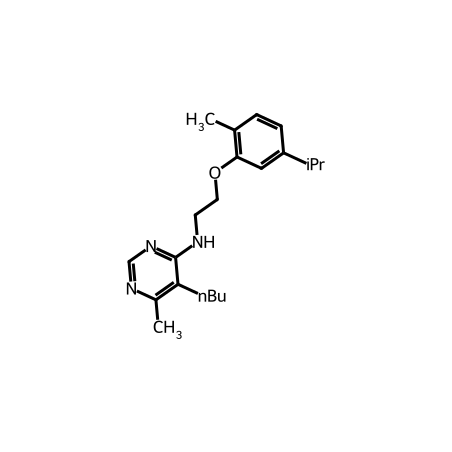 CCCCc1c(C)ncnc1NCCOc1cc(C(C)C)ccc1C